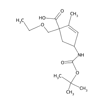 CCOCC1(C(=O)O)CC(NC(=O)OC(C)(C)C)C=C1C